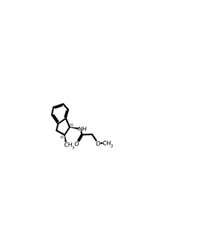 COCC(=O)N[C@@H]1c2ccccc2C[C@@H]1C